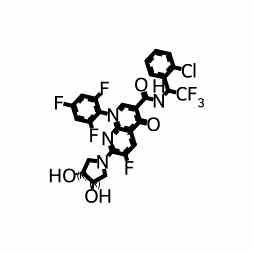 O=C(NC(c1ccccc1Cl)C(F)(F)F)c1cn(-c2c(F)cc(F)cc2F)c2nc(N3C[C@@H](O)[C@H](O)C3)c(F)cc2c1=O